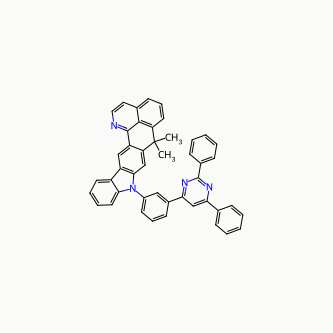 CC1(C)c2cc3c(cc2-c2nccc4cccc1c24)c1ccccc1n3-c1cccc(-c2cc(-c3ccccc3)nc(-c3ccccc3)n2)c1